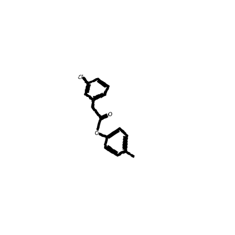 Cc1ccc(OC(=O)Cc2cccc(Cl)c2)cc1